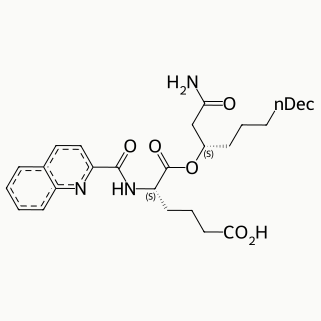 CCCCCCCCCCCCC[C@@H](CC(N)=O)OC(=O)[C@H](CCCC(=O)O)NC(=O)c1ccc2ccccc2n1